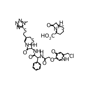 Cn1nnnc1SCC1=CN2C(=O)C(NC(=O)C(NC(=O)COc3c[nH]c(CCl)cc3=O)c3ccccc3)[C@@H]2SC1.O=C(O)C1=[N+]2C(=O)C[C@@H]2SCC1